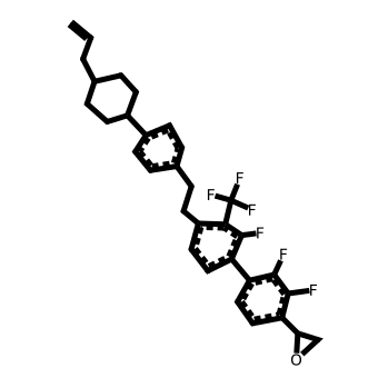 C=CCC1CCC(c2ccc(CCc3ccc(-c4ccc(C5CO5)c(F)c4F)c(F)c3C(F)(F)F)cc2)CC1